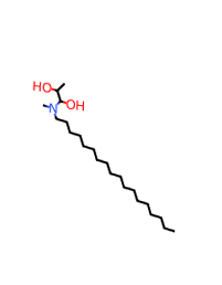 CCCCCCCCCCCCCCCCCCN(C)C(O)C(C)O